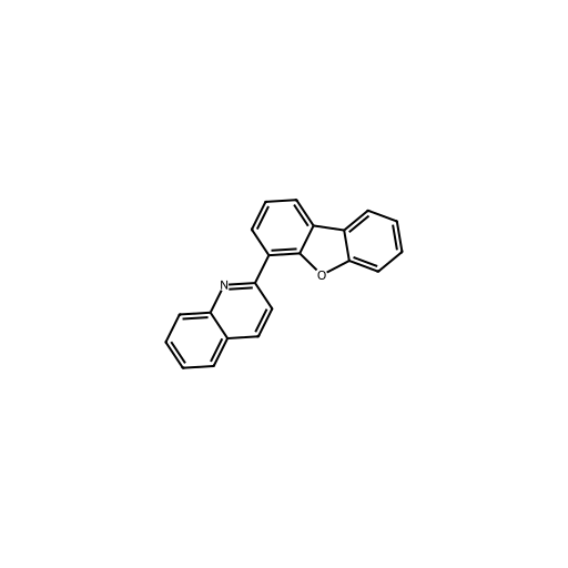 c1ccc2nc(-c3cccc4c3oc3ccccc34)ccc2c1